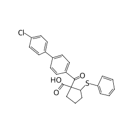 O=C(O)C1(C(=O)c2ccc(-c3ccc(Cl)cc3)cc2)CCCC1Sc1ccccc1